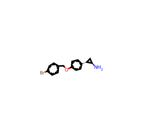 N[C@@H]1C[C@H]1c1ccc(OCc2ccc(Br)cc2)cc1